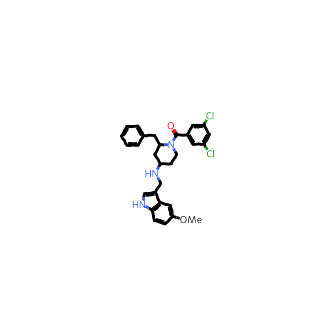 COc1ccc2[nH]cc(CNC3CCN(C(=O)c4cc(Cl)cc(Cl)c4)C(Cc4ccccc4)C3)c2c1